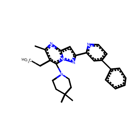 Cc1nc2cc(-c3cc(-c4ccccc4)ccn3)nn2c(N2CCC(C)(C)CC2)c1CC(=O)O